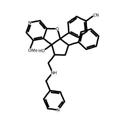 COc1cncc2c1C1(O)C(CNCc3ccncc3)CC(c3ccccc3)C1(c1ccc(C#N)cc1)O2